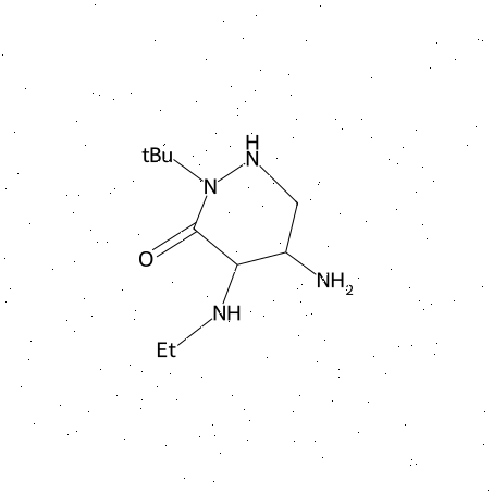 CCNC1C(=O)N(C(C)(C)C)NCC1N